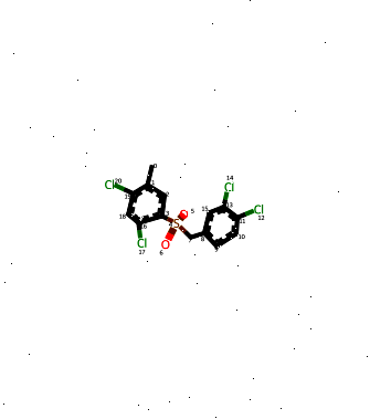 Cc1cc(S(=O)(=O)Cc2ccc(Cl)c(Cl)c2)c(Cl)cc1Cl